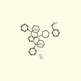 CC(c1ccccc1)n1ccn(C(C)c2ccccc2)c1=P(C1CCCCC1)(C1CCCCC1)C1CCCCC1.[Cl-].[Cl-].[Ru+2]=[CH]c1ccccc1